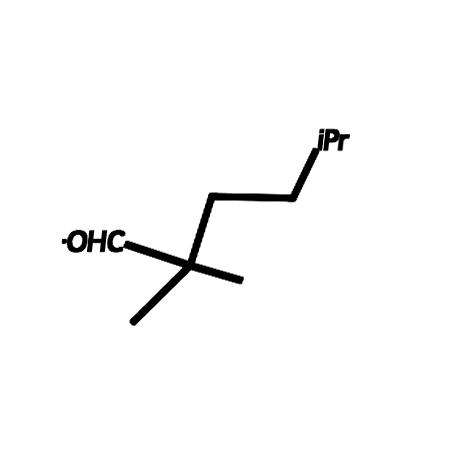 CC(C)CCC(C)(C)[C]=O